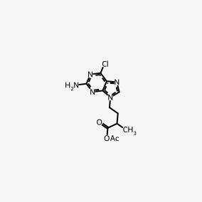 CC(=O)OC(=O)C(C)CCn1cnc2c(Cl)nc(N)nc21